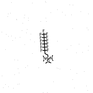 CN(C)[Si](CCC(F)(F)C(F)(F)C(F)(F)C(F)(F)C(F)(F)C(F)(F)F)(N(C)C)N(C)C